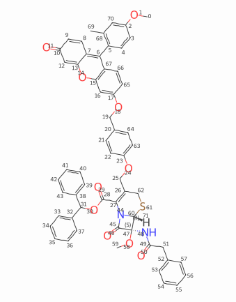 COc1ccc(-c2c3ccc(=O)cc-3oc3cc(OCc4ccc(OCC5=C(C(=O)OC(c6ccccc6)c6ccccc6)N6C(=O)[C@](NC(=O)Cc7ccccc7)(OC)[C@H]6SC5)cc4)ccc23)c(C)c1